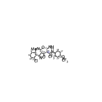 CNC(=O)c1c(-c2c(F)cccc2Cl)noc1/C(C=N)=C(/Nc1ccc(OC(F)(F)F)cc1)C(F)(F)F